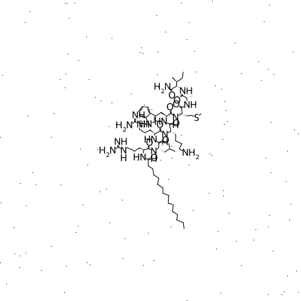 CCCCCCCCCCCCCCCC(=O)N[C@@H](CCCNC(=N)N)C(=O)N[C@@H](CC(C)C)C(=O)N[C@@H](CCCNC(=N)N)C(=O)N[C@@H](CCCCN)C(=O)N[C@@H](Cc1c[nH]c2ccccc12)C(=O)N[C@@H](CCSC)C(=O)N[C@@H](C)C(=O)N[C@H](C(N)=O)[C@@H](C)CC